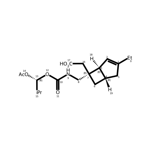 CCC1=C[C@H]2[C@H](C1)C[C@@]2(CNC(=O)O[C@@H](OC(C)=O)C(C)C)CC(=O)O